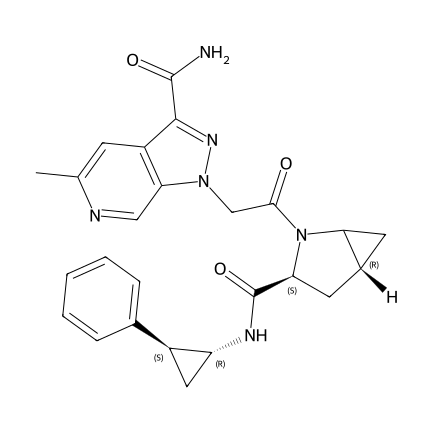 Cc1cc2c(C(N)=O)nn(CC(=O)N3C4C[C@@H]4C[C@H]3C(=O)N[C@@H]3C[C@H]3c3ccccc3)c2cn1